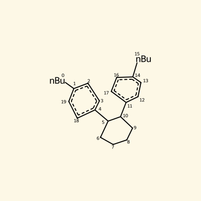 CCCCc1ccc(C2CCCCC2c2ccc(CCCC)cc2)cc1